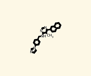 Cc1c(NCc2ccc(-n3ccnc3)cc2)ncnc1-c1ccc2ccccc2c1